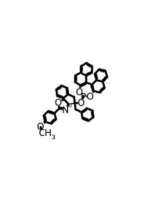 COc1ccc(C2=N[C@H](C(Cc3ccccc3)(Cc3ccccc3)Op3oc4ccc5ccccc5c4c4c(ccc5ccccc54)o3)CO2)cc1